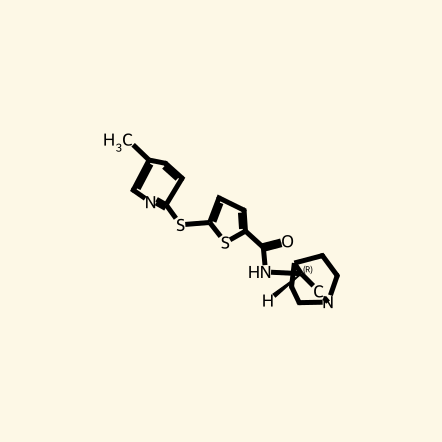 Cc1ccc(Sc2ccc(C(=O)N[C@H]3CN4CCC3CC4)s2)nc1